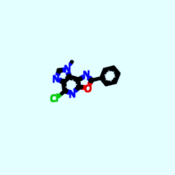 Cn1cnc2c(Cl)nc3oc(-c4ccccc4)nc3c21